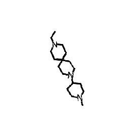 CCN1CCC2(CC1)CCN(C1CCN(C)CC1)CC2